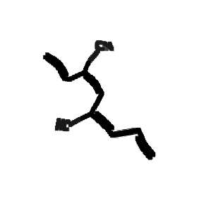 C=C/C=C(C#N)\C=C(\C#N)C=C